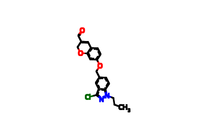 CCCn1nc(Cl)c2cc(COc3ccc4c(c3)OCC(C=O)=C4)ccc21